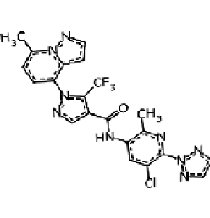 Cc1nc(-n2nccn2)c(Cl)cc1NC(=O)c1cnn(-c2ccc(C)n3nccc23)c1C(F)(F)F